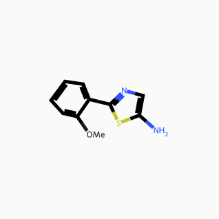 COc1ccccc1-c1ncc(N)s1